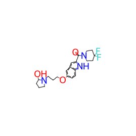 O=C(c1cc2cc(OCCCN3CCCC3O)ccc2[nH]1)N1CCC(F)(F)CC1